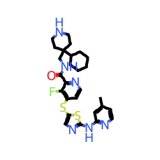 Cc1ccnc(Nc2ncc(Sc3ccnc(C(=O)NCC4(C5CCCCC5)CCNCC4)c3F)s2)c1